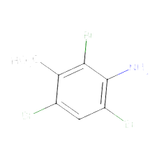 Nc1c(Br)cc(Br)c(C(=O)O)c1Br